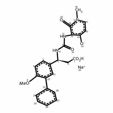 COc1ccc([C@H](CC(=O)O)NC(=O)Nc2c([O-])ccn(C)c2=O)cc1-c1ccccc1.[Na+]